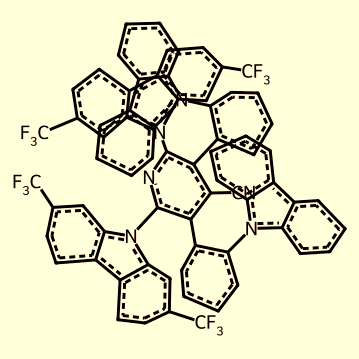 N#Cc1c(-c2ccccc2-n2c3ccccc3c3ccccc32)c(-n2c3cc(C(F)(F)F)ccc3c3ccc(C(F)(F)F)cc32)nc(-n2c3cc(C(F)(F)F)ccc3c3ccc(C(F)(F)F)cc32)c1-c1ccccc1-n1c2ccccc2c2ccccc21